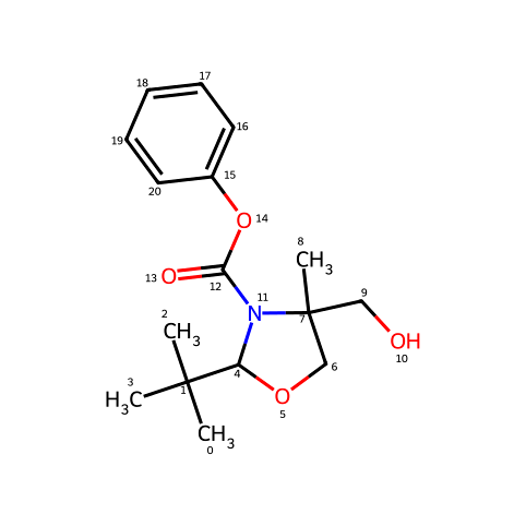 CC(C)(C)C1OCC(C)(CO)N1C(=O)Oc1ccccc1